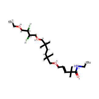 CC(C)(C)CNC(=O)C(C)(C)/C=C/COCC(C)(C)CCC(C)(C)COCC(F)C(F)COCC(C)(C)C